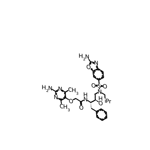 Cc1nc(N)nc(C)c1OCC(=O)N[C@@H](Cc1ccccc1)[C@H](O)CN(CC(C)C)S(=O)(=O)c1ccc2nc(N)oc2c1